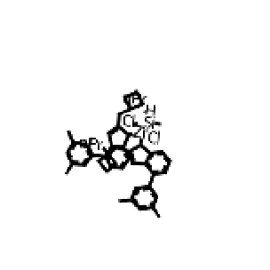 CCCC1(CC2=Cc3c(-c4cc(C)cc(C)c4)cccc3[CH]2[Zr]([Cl])([Cl])([CH]2C(CC3(CCC)CCC3)=Cc3c(-c4cc(C)cc(C)c4)cccc32)[SiH](C)C)CCC1